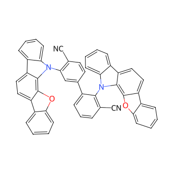 N#Cc1ccc(-c2cccc(C#N)c2-n2c3ccccc3c3ccc4c5ccccc5oc4c32)cc1-n1c2ccccc2c2ccc3c4ccccc4oc3c21